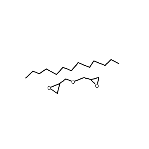 C(OCC1CO1)C1CO1.CCCCCCCCCCCCC